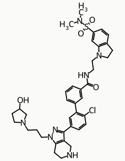 CN(C)S(=O)(=O)c1ccc2c(c1)N(CCNC(=O)c1cccc(-c3cc(-c4nn(CCCN5CCC(O)C5)c5c4CNCC5)ccc3Cl)c1)CC2